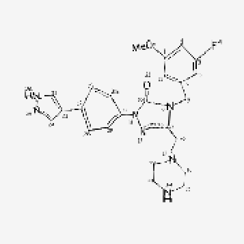 COc1cc(F)cc(Cn2c(CN3CCNCC3)nn(-c3ccc(-c4cn[nH]c4)cc3)c2=O)c1